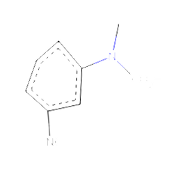 [C-]#[N+]c1cccc(N(C)C(=O)O)c1